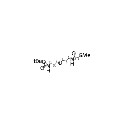 CSCC(=O)NCCCOCCCNC(=O)OC(C)(C)C